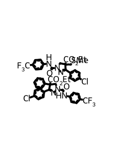 CCOC(=O)C1(CSC)CN(C(=O)Nc2ccc(C(F)(F)F)cc2)N=C1c1ccc(Cl)cc1.CCOC(=O)C1(c2ccccc2)CN(C(=O)Nc2ccc(C(F)(F)F)cc2)N=C1c1ccc(Cl)cc1